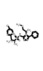 COC[C@H](C)n1c(NS(=O)(=O)[C@@H](C)[C@H](C)c2ncc(Cl)cn2)nnc1-c1ccccc1